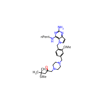 CCCCCNc1nc(N)nc2ccn(Cc3ccc(CN4CCN(CC(=O)CC(C)(C)SC)CC4)cc3OC)c12